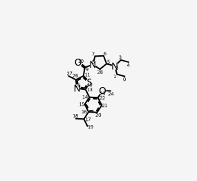 CCN(CC)C1CCN(C(=O)c2sc(-c3cc(C(C)C)ccc3OC)nc2C)C1